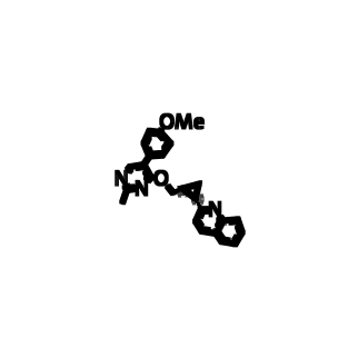 COc1ccc(-c2cnc(C)nc2OC[C@H]2C[C@@H]2c2ccc3ccccc3n2)cc1